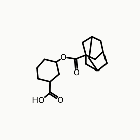 O=C(O)C1CCCC(OC(=O)C23CC4CC(CC(C4)C2)C3)C1